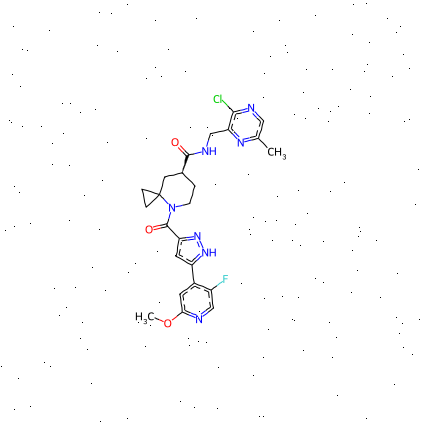 COc1cc(-c2cc(C(=O)N3CC[C@H](C(=O)NCc4nc(C)cnc4Cl)CC34CC4)n[nH]2)c(F)cn1